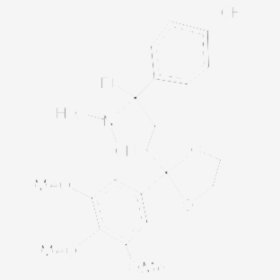 CCC(CCC1(c2cc(OC)c(OC)c(OC)c2)OCCO1)(c1ccc(C(F)(F)F)cc1)N(C)C